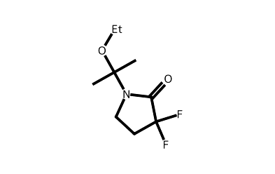 CCOC(C)(C)N1CCC(F)(F)C1=O